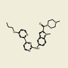 CCCOc1ccnc(-c2ccnc(Nc3ccc4c(c3)cc(C(=O)N3CCN(C)CC3)n4C)n2)c1